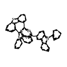 c1ccc(-c2nc(-c3ccc4c(c3)c3ccccc3n4-c3ccccc3)nc(-c3cccc4sc5cccc(-c6nc7ccccc7s6)c5c34)n2)cc1